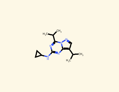 CC(C)c1cnn2c(C(C)C)nc(NC3CC3)nc12